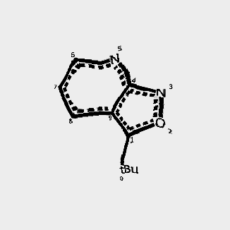 CC(C)(C)c1onc2ncccc12